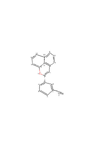 COc1cccc(C2=Cc3cccc4cccc(c34)O2)c1